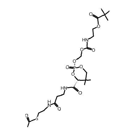 CC(=O)SCCNC(=O)CCNC(=O)[C@@H]1O[P@](=O)(OCOC(=O)NCCOC(=O)C(C)(C)C)OCC1(C)C